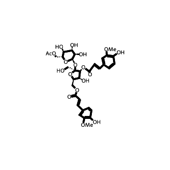 COc1cc(/C=C/C(=O)OC[C@H]2O[C@@](CO)(O[C@H]3O[C@H](COC(C)=O)[C@@H](O)[C@H](O)[C@H]3O)[C@@H](OC(=O)/C=C/c3ccc(O)c(OC)c3)[C@@H]2O)ccc1O